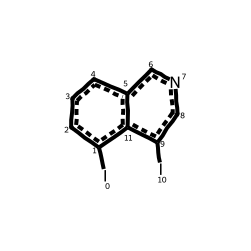 Ic1cccc2cncc(I)c12